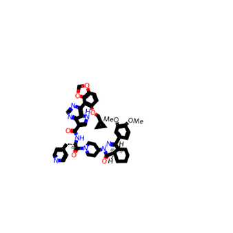 COc1ccc(C2=NN(C3CCN(C(=O)[C@H](Cc4ccncc4)NC(=O)c4c[nH]c5c(-c6c(OCC7CC7)ccc7c6OCO7)ncnc45)CC3)C(=O)[C@@H]3CCCC[C@H]23)cc1OC